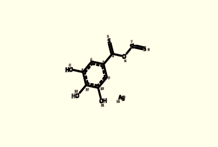 Oc1cc(C(=S)[O][Sb]=[S])cc(O)c1O.[Ag]